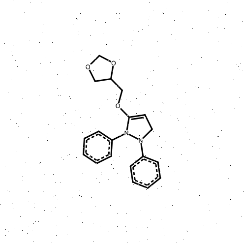 C1=C(OCC2COCO2)N(c2ccccc2)N(c2ccccc2)C1